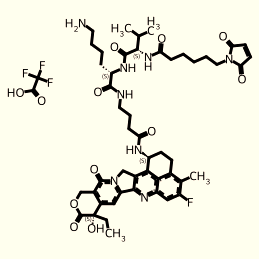 CC[C@@]1(O)C(=O)OCc2c1cc1n(c2=O)Cc2c-1nc1cc(F)c(C)c3c1c2[C@@H](NC(=O)CCCNC(=O)[C@H](CCCCN)NC(=O)[C@@H](NC(=O)CCCCCN1C(=O)C=CC1=O)C(C)C)CC3.O=C(O)C(F)(F)F